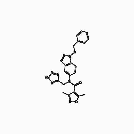 Cc1noc(C)c1C(=O)N(Cc1nn[nH]n1)c1ccc2c(cnn2OCc2ccccc2)c1